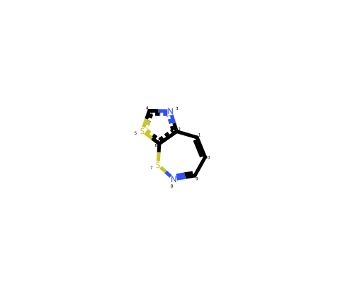 C1=Cc2ncsc2SN=C1